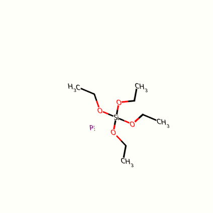 CCO[Si](OCC)(OCC)OCC.[P]